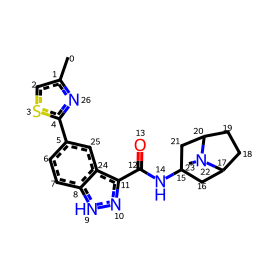 Cc1csc(-c2ccc3[nH]nc(C(=O)NC4CC5CCC(C4)N5C)c3c2)n1